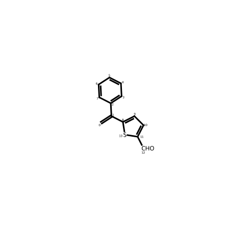 C=C(c1ccccc1)c1ccc(C=O)s1